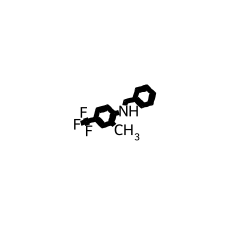 Cc1cc(C(F)(F)F)ccc1NCc1ccccc1